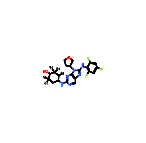 [2H]C1C(Nc2ncc3nc(Nc4c(F)cc(F)cc4F)n(C4CCOC4)c3n2)CC([2H])([2H])C(O)C1([2H])[2H]